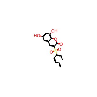 C=C/C=C\C(=C/C)S(=O)(=O)c1cc2cc(O)cc(O)c2oc1=O